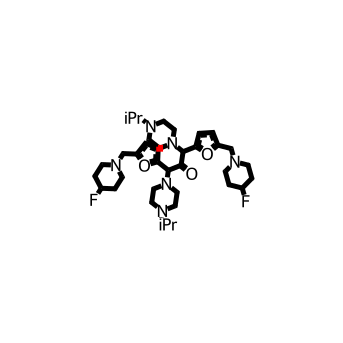 CC(C)N1CCN(C(C(=O)C(c2ccc(CN3CCC(F)CC3)o2)N2CCN(C(C)C)CC2)c2ccc(CN3CCC(F)CC3)o2)CC1